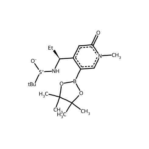 CC[C@H](N[S+]([O-])C(C)(C)C)c1cc(=O)n(C)cc1B1OC(C)(C)C(C)(C)O1